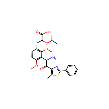 COc1ccc(CC(OC(C)C)C(=O)O)c(OC)c1C(N)C(=O)c1nc(-c2ccccc2)sc1C